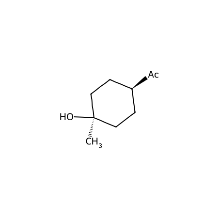 CC(=O)[C@H]1CC[C@@](C)(O)CC1